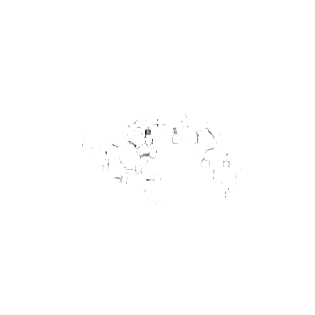 CN1CCN(Cc2ccc(NC(=O)Nc3ccc(-c4cn(C5CC5)c5ncnc(N(C(=O)OC(C)(C)C)C(=O)OC(C)(C)C)c45)cn3)cc2C(F)(F)F)CC1